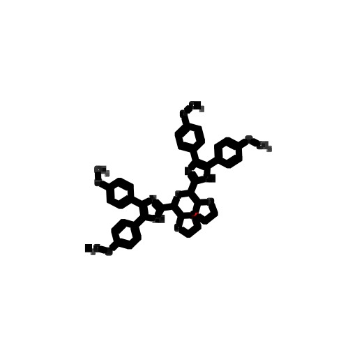 COc1ccc(-c2nc(C(SC(c3nc(-c4ccc(OC)cc4)c(-c4ccc(OC)cc4)[nH]3)C3OCCO3)C3OCCO3)[nH]c2-c2ccc(OC)cc2)cc1